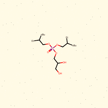 CCCCC(CC)COP(=O)(OCC(O)CO)OCC(CC)CCCC